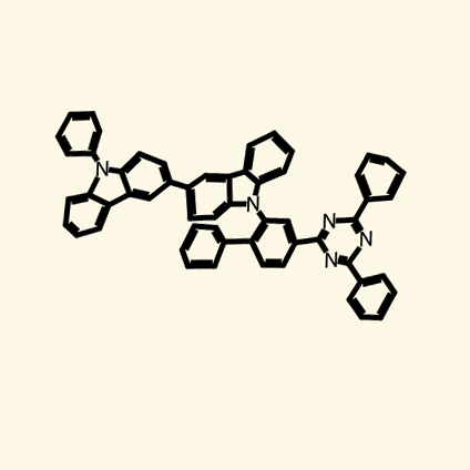 c1ccc(-c2nc(-c3ccccc3)nc(-c3ccc(-c4ccccc4)c(-n4c5ccccc5c5cc(-c6ccc7c(c6)c6ccccc6n7-c6ccccc6)ccc54)c3)n2)cc1